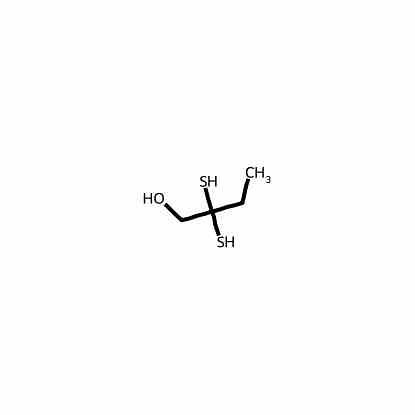 CCC(S)(S)CO